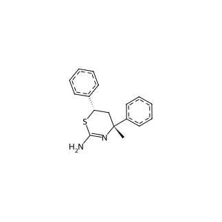 C[C@]1(c2ccccc2)C[C@@H](c2ccccc2)SC(N)=N1